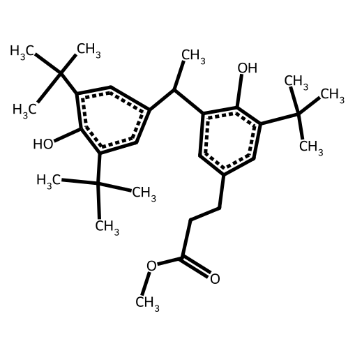 COC(=O)CCc1cc(C(C)c2cc(C(C)(C)C)c(O)c(C(C)(C)C)c2)c(O)c(C(C)(C)C)c1